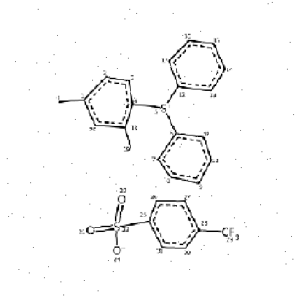 Cc1ccc([S+](c2ccccc2)c2ccccc2)c(C)c1.O=S(=O)([O-])c1ccc(C(F)(F)F)cc1